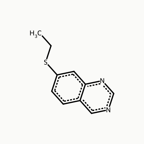 CCSc1ccc2cncnc2c1